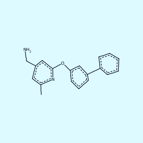 Cc1cc(CN)cc(Oc2cccc(-c3ccccc3)c2)n1